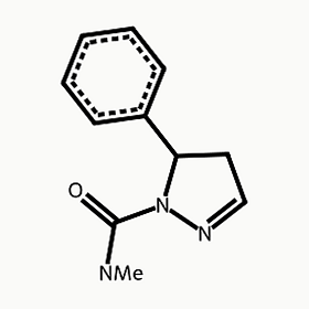 CNC(=O)N1N=CCC1c1ccccc1